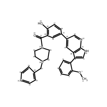 COc1ccccc1-c1c[nH]c2ncc(-c3ccc(O)c(C(=O)N4CCN(Cc5ccncc5)CC4)c3)cc12